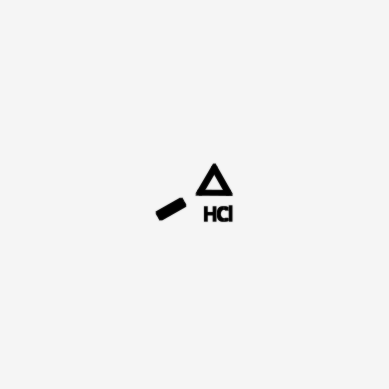 C1CC1.C=C.Cl